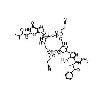 CO[C@H]1[C@H]2OP(=O)(OCCC#N)OC[C@H]3O[C@@H](n4cnc(/C(=N\N)NC(=O)c5ccccc5)c4N)C[C@@H]3OP(=O)(OCCC#N)OC[C@H]1O[C@H]2n1cnc2c(=O)[nH]c(NC(=O)C(C)C)nc21